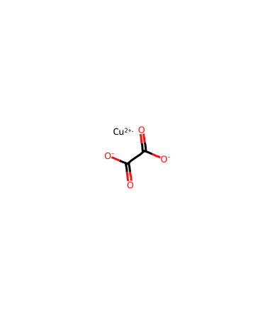 O=C([O-])C(=O)[O-].[Cu+2]